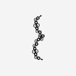 C#Cc1ccc(Oc2ccc(S(=O)(=O)c3ccc(Oc4cccc(Oc5ccc(S(=O)(=O)c6ccccc6Oc6cccc(Oc7ccc(S(=O)(=O)c8ccc(Oc9ccc(C#C)cc9)cc8)cc7)c6)cc5)c4)cc3)cc2)cc1